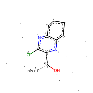 CCCCC[C@@H](O)c1nc2ccccc2nc1Cl